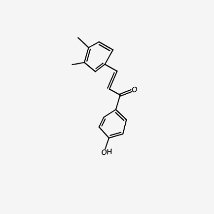 Cc1ccc(C=CC(=O)c2ccc(O)cc2)cc1C